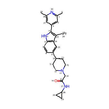 Cc1cc(-c2[nH]c3ccc(C4CCN(CC(=O)NC5CC5)CC4)cc3c2C(C)C)cc(C)n1